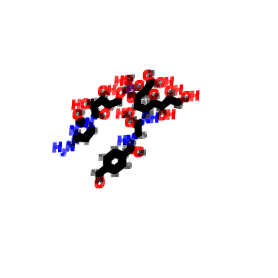 Nc1ccn(C2OC(COP(=O)(O)O[C@@]3(C(=O)O)C[C@@H](O)C(NC(=O)CNC(=O)c4ccc(C=O)cc4)C([C@H](O)C(O)CO)O3)[C@H](O)C2O)c(=O)n1